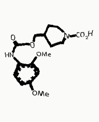 COc1ccc(NC(=O)OCC2CCN(C(=O)O)CC2)c(OC)c1